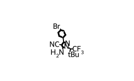 CC(C)(C)C(n1nc(-c2ccc(Br)cc2)c(C#N)c1N)C(F)(F)F